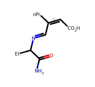 CCC/C(C=NC(CC)C(N)=O)=C/C(=O)O